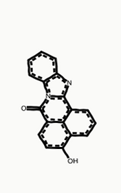 O=c1c2ccc(O)c3cccc(c32)c2nc3ccccc3n12